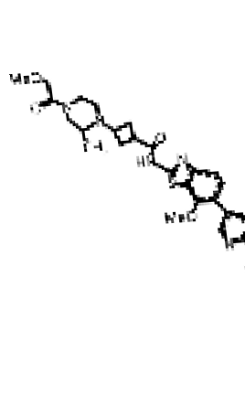 COCC(=O)N1CCN(C2CC(C(=O)Nc3nc4ccc(-c5cnc(COC6CCCC6)nc5)c(OC)c4s3)C2)C(C)C1